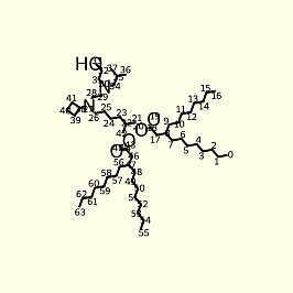 CCCCCCCCC(CCCCCCCC)CC(=O)OCC(CCCCN(CCN(CCO)CC(C)C)C1CCC1)COC(=O)CC(CCCCCCCC)CCCCCCCC